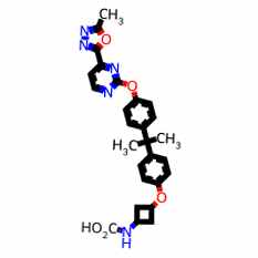 Cc1nnc(-c2ccnc(Oc3ccc(C(C)(C)c4ccc(OC5CC(NC(=O)O)C5)cc4)cc3)n2)o1